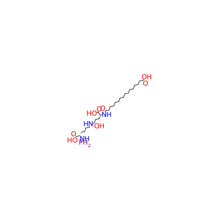 O=C(O)CCCCCCCCCCCCCCC(=O)N[C@@H](CCC(O)NCCCC[C@H](NP)C(=O)O)C(=O)O